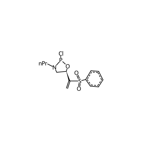 C=C([C@H]1CN(CCC)P(Cl)O1)S(=O)(=O)c1ccccc1